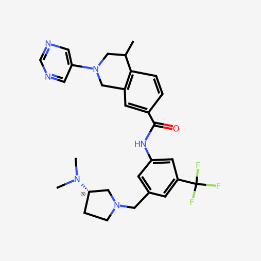 CC1CN(c2cncnc2)Cc2cc(C(=O)Nc3cc(CN4CC[C@H](N(C)C)C4)cc(C(F)(F)F)c3)ccc21